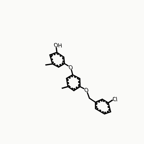 Cc1cc(O)cc(Oc2cc(C)cc(OCc3cccc(Cl)c3)c2)c1